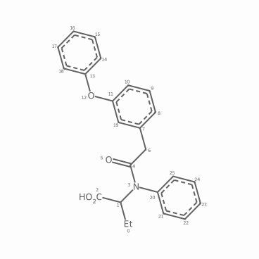 CCC(C(=O)O)N(C(=O)Cc1cccc(Oc2ccccc2)c1)c1ccccc1